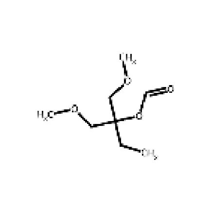 CCC(COC)(COC)OC=O